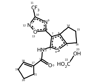 O=C(Nc1sc2c(c1-c1nc(C(F)(F)F)no1)CCC2)C1=CCCC1.O=C(O)O